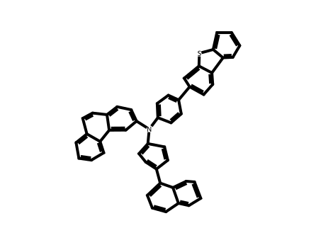 c1ccc2c(-c3ccc(N(c4ccc(-c5ccc6c(c5)sc5ccccc56)cc4)c4ccc5ccc6ccccc6c5c4)cc3)cccc2c1